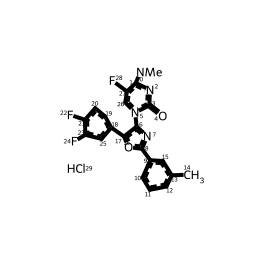 CNc1nc(=O)n(-c2nc(-c3cccc(C)c3)oc2-c2ccc(F)c(F)c2)cc1F.Cl